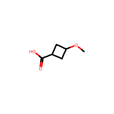 COC1CC(C(=O)O)C1